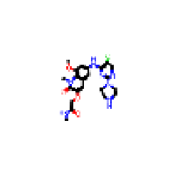 CNC(=O)COc1cc2cc(Nc3nc(N4CCNCC4)ncc3Cl)cc(OC)c2n(C)c1=O